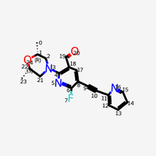 C[C@@H]1CN(c2nc(F)c(C#Cc3ccccn3)cc2C=O)C[C@H](C)O1